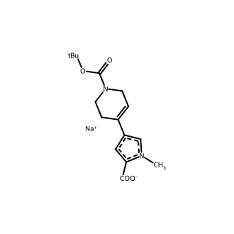 Cn1cc(C2=CCN(C(=O)OC(C)(C)C)CC2)cc1C(=O)[O-].[Na+]